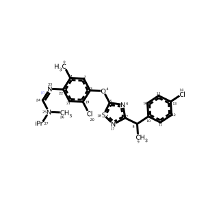 Cc1cc(Oc2nc(C(C)c3ccc(Cl)cc3)ns2)c(Cl)cc1/N=C\N(C)C(C)C